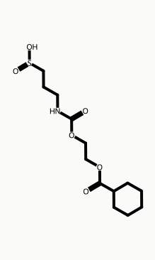 O=C(NCCCS(=O)O)OCCOC(=O)C1CCCCC1